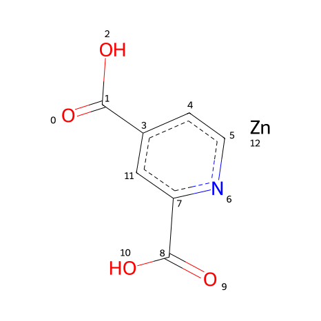 O=C(O)c1ccnc(C(=O)O)c1.[Zn]